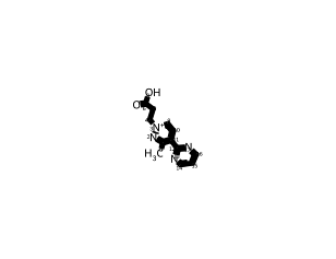 Cc1n[n+](CCC(=O)O)ccc1-c1ncccn1